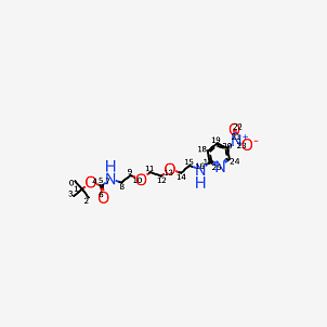 CC(C)(C)OC(=O)NCCOCCOCCNc1ccc([N+](=O)[O-])cn1